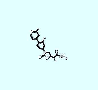 Cc1cc(-c2ccc(N3CC([C@H](C)C(N)=O)OC3=O)cc2F)ccn1